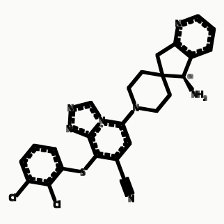 N#Cc1cc(N2CCC3(CC2)Cc2ncccc2[C@H]3N)n2cnnc2c1Sc1cccc(Cl)c1Cl